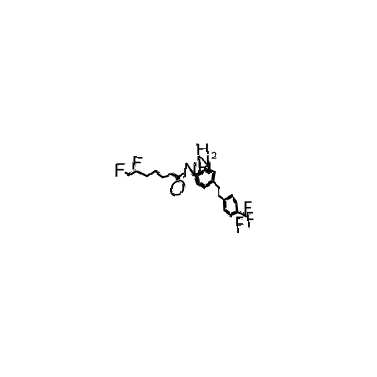 Nc1cc(CCc2ccc(C(F)(F)F)cc2)ccc1NC(=O)CCCCC(F)CF